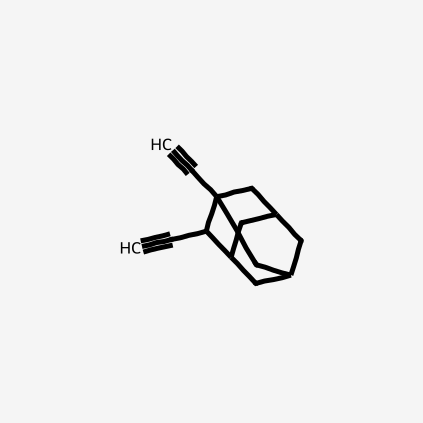 C#CC1C2CC3CC(C2)CC1(C#C)C3